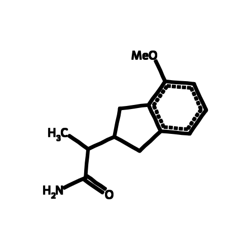 COc1cccc2c1CC(C(C)C(N)=O)C2